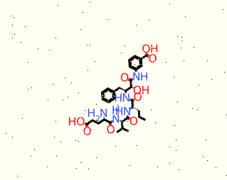 CCC[C@H](NC(=O)[C@@H](NC(=O)[C@@H](N)CCC(=O)O)C(C)C)C(=O)N[C@@H](Cc1ccccc1)[C@@H](O)C(=O)Nc1cccc(C(=O)O)c1